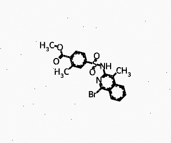 COC(=O)c1ccc(S(=O)(=O)Nc2nc(Br)c3ccccc3c2C)cc1C